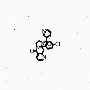 O=C(c1cccnc1)N1CCN2C(=O)c3cccnc3CC12c1ccc(Cl)cc1